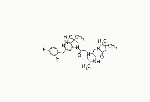 CC1CN(CC(=O)N2CC(C)(C)c3nnc(Cc4ccc(F)cc4F)cc32)[C@@H](CN2CC(C)(C)CC2=O)CN1